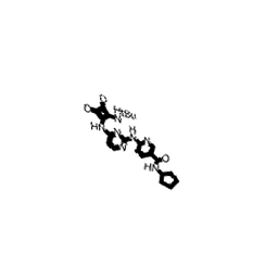 CC(C)(C)Nc1c(Nc2ccnc(Nc3ccc(C(=O)NC4CCCC4)cn3)n2)c(=O)c1=O